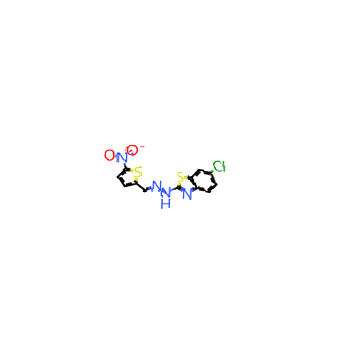 O=[N+]([O-])c1ccc(C=NNc2nc3ccc(Cl)cc3s2)s1